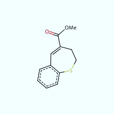 COC(=O)C1=Cc2ccccc2SCC1